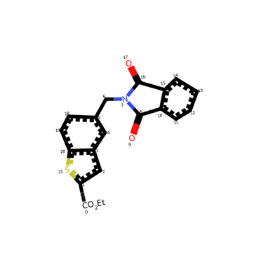 CCOC(=O)c1cc2cc(CN3C(=O)c4ccccc4C3=O)ccc2s1